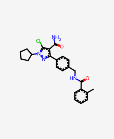 Cc1ccccc1C(=O)NCc1ccc(-c2nn(C3CCCC3)c(Cl)c2C(N)=O)cc1